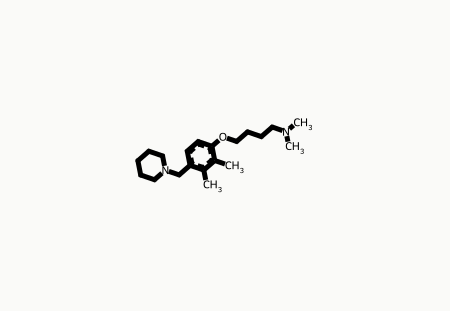 Cc1c(CN2CCCCC2)ccc(OCCCCN(C)C)c1C